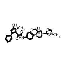 Cc1cc(-c2ccccc2)c(C(=O)C(=O)Nc2ccc3c(c2)OC[C@H]2CN(c4ncn(C)n4)CCN32)n1C